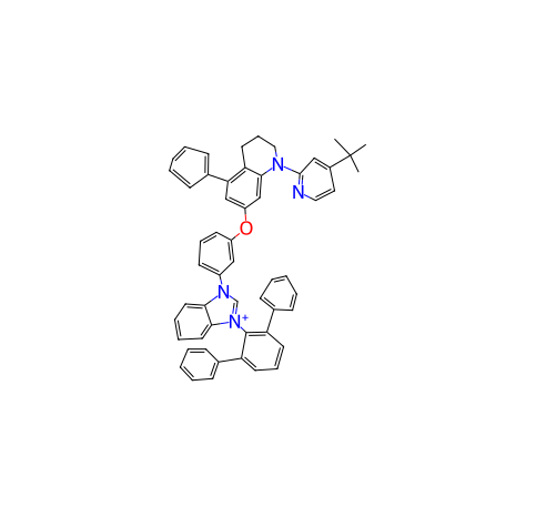 CC(C)(C)c1ccnc(N2CCCc3c(-c4ccccc4)cc(Oc4cccc(-n5c[n+](-c6c(-c7ccccc7)cccc6-c6ccccc6)c6ccccc65)c4)cc32)c1